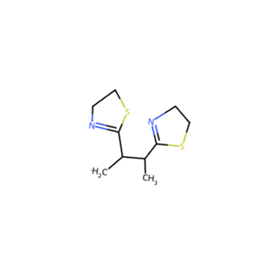 [CH2]C(C1=NCCS1)C(C)C1=NCCS1